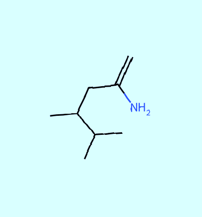 C=C(N)CC(C)C(C)C